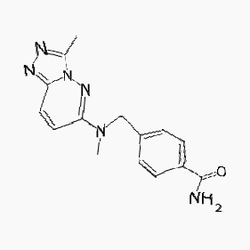 Cc1nnc2ccc(N(C)Cc3ccc(C(N)=O)cc3)nn12